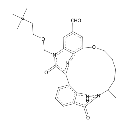 CC1CCCCOc2cc(C=O)cc3c2nc(c(=O)n3COCC[Si](C)(C)C)-c2cccc3c(=O)n1[nH]c23